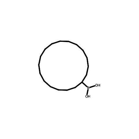 OB(O)C1CCCCCCCCCCCCCCCCC1